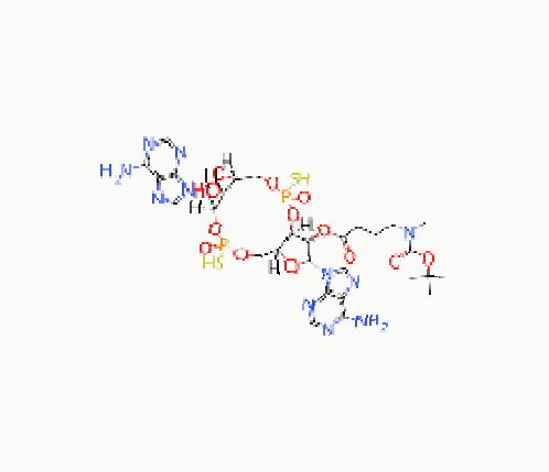 CN(CCCC(=O)O[C@@H]1[C@@H]2O[P@](=O)(S)OC[C@H]3O[C@@H](n4cnc5c(N)ncnc54)[C@H](O[P@](=O)(S)OC[C@H]2O[C@H]1n1cnc2c(N)ncnc21)[C@@H]3O)C(=O)OC(C)(C)C